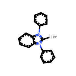 O=C([O-])c1n(-c2ccccc2)c2ccccc2[n+]1-c1ccccc1